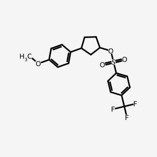 COc1ccc(C2CCC(OS(=O)(=O)c3ccc(C(F)(F)F)cc3)C2)cc1